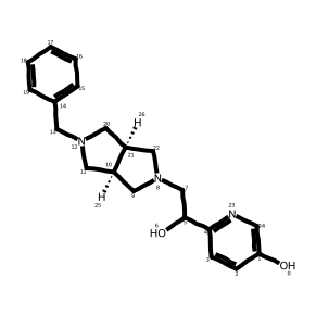 Oc1ccc(C(O)CN2C[C@H]3CN(Cc4ccccc4)C[C@H]3C2)nc1